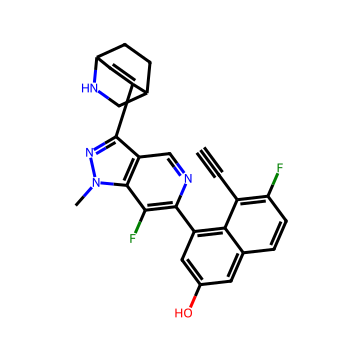 C#Cc1c(F)ccc2cc(O)cc(-c3ncc4c(C5=CC6CCC5CN6)nn(C)c4c3F)c12